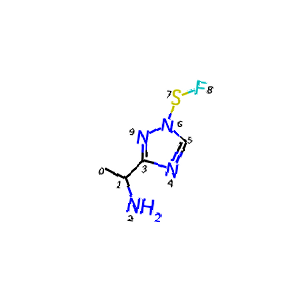 CC(N)c1ncn(SF)n1